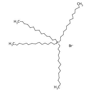 CCCCCCCCCCCCCC[P+](CCCCCCCCCCCCCC)(CCCCCCCCCCCCCC)CCCCCCCCCCCCCC.[Br-]